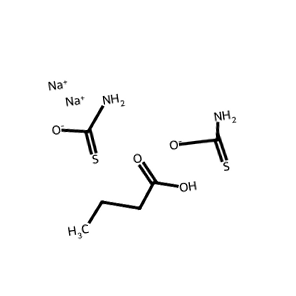 CCCC(=O)O.NC([O-])=S.NC([O-])=S.[Na+].[Na+]